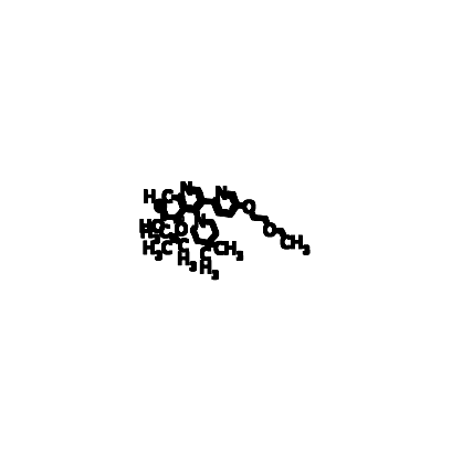 CCOCCOc1ccc(-c2cnc(C)c([C@H](OC(C)(C)C)C(=O)O)c2N2CCC(C)(C)CC2)nc1